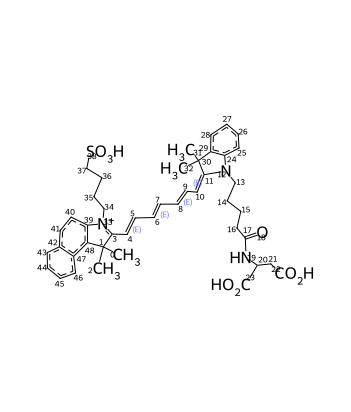 CC1(C)C(/C=C/C=C/C=C/C=C2/N(CCCCC(=O)NC(CC(=O)O)C(=O)O)c3ccccc3C2(C)C)=[N+](CCCCS(=O)(=O)O)c2ccc3ccccc3c21